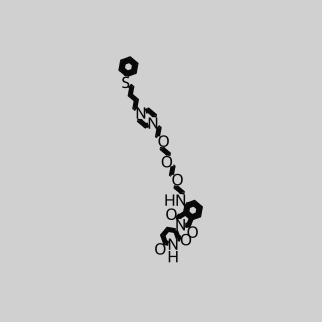 O=C1CCC(N2C(=O)c3cccc(NCCOCCOCCOCCN4CCN(CCCCSc5ccccc5)CC4)c3C2=O)C(=O)N1